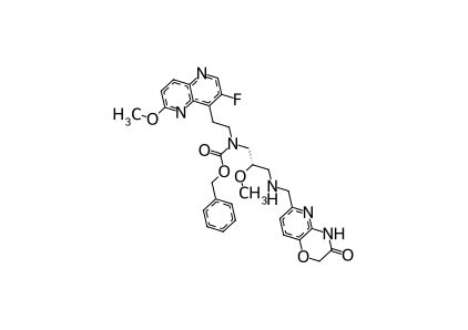 COc1ccc2ncc(F)c(CCN(C[C@H](CNCc3ccc4c(n3)NC(=O)CO4)OC)C(=O)OCc3ccccc3)c2n1